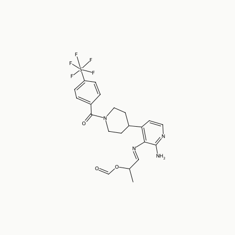 CC(/C=N/c1c(C2CCN(C(=O)c3ccc(S(F)(F)(F)(F)F)cc3)CC2)ccnc1N)OC=O